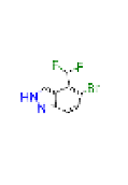 FC(F)c1c(Br)ccc2n[nH]cc12